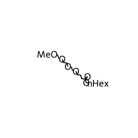 CCCCCCOC(=O)CCCOCCOCCOCCOC